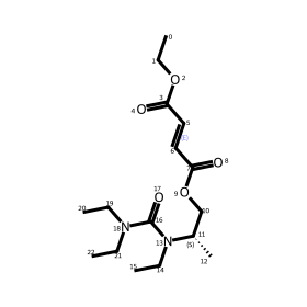 CCOC(=O)/C=C/C(=O)OC[C@H](C)N(CC)C(=O)N(CC)CC